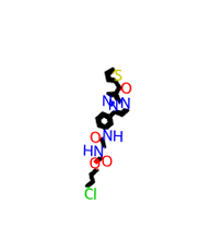 O=C(CNC(=O)OCCCCCl)Nc1cccc(-c2ccnc3c(C(=O)c4cccs4)cnn23)c1